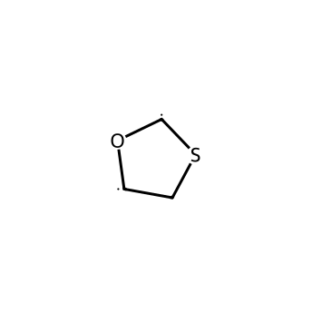 [CH]1CS[CH]O1